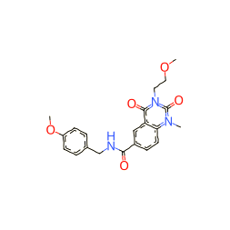 COCCn1c(=O)c2cc(C(=O)NCc3ccc(OC)cc3)ccc2n(C)c1=O